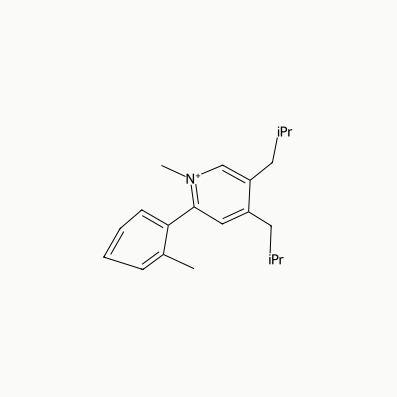 Cc1ccccc1-c1cc(CC(C)C)c(CC(C)C)c[n+]1C